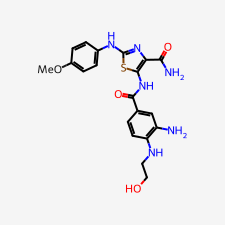 COc1ccc(Nc2nc(C(N)=O)c(NC(=O)c3ccc(NCCO)c(N)c3)s2)cc1